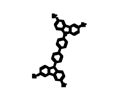 Brc1ccc2c(c1)-c1cc(Br)ccc1C2c1ccc(-c2ccc(-n3c4ccc(Br)cc4c4cc(Br)ccc43)cc2)cc1